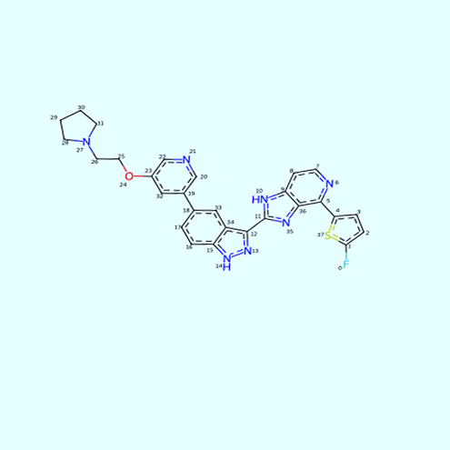 Fc1ccc(-c2nccc3[nH]c(-c4n[nH]c5ccc(-c6cncc(OCCN7CCCC7)c6)cc45)nc23)s1